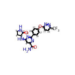 NC(=O)c1cc(NC2CCNC2=O)nc(-c2ccc(Oc3ccc(C(F)(F)F)nn3)cc2)n1